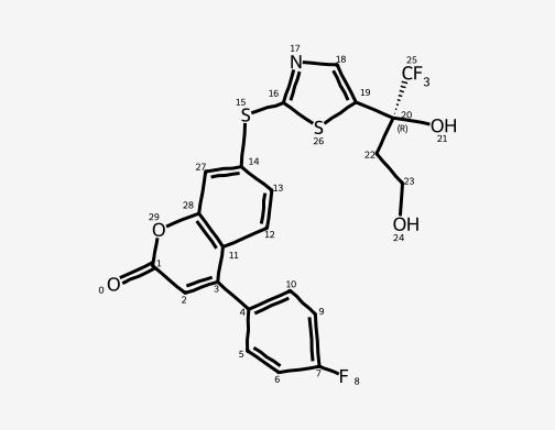 O=c1cc(-c2ccc(F)cc2)c2ccc(Sc3ncc([C@@](O)(CCO)C(F)(F)F)s3)cc2o1